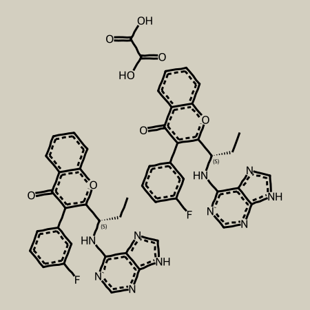 CC[C@H](Nc1ncnc2[nH]cnc12)c1oc2ccccc2c(=O)c1-c1cccc(F)c1.CC[C@H](Nc1ncnc2[nH]cnc12)c1oc2ccccc2c(=O)c1-c1cccc(F)c1.O=C(O)C(=O)O